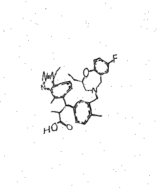 CC[C@@H]1CN(Cc2cc([C@H](c3ccc4c(nnn4C)c3C)C(C)C(=O)O)ccc2C)Cc2cc(F)ccc2O1